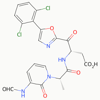 C[C@@H](C(=O)N[C@@H](CC(=O)O)C(=O)c1ncc(-c2c(Cl)cccc2Cl)o1)n1cccc(NC=O)c1=O